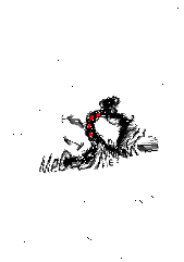 COCCO[C@@H]1CC[C@@H](C[C@@H](C)[C@@H]2CC(=O)[C@H](C)/C=C(\C)[C@@H](O)[C@@H](OC)C(=O)[C@H](C)C[C@H](C)/C=C/C=C/C=C(\C)[C@H](OC[C@H]3COCCO3)C[C@@H]3CC[C@@H](C)[C@@](O)(O3)C(=O)C(=O)N3CCCC[C@H]3C(=O)O2)C[C@H]1OC